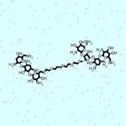 NCC1O[C@H](O[C@@H]2C(N)C[C@@H](N)C(O)C2O[C@@H]2O[C@H](CSCCOCCSSCCOCCSCC3O[C@H](O[C@H]4C(N)C[C@H](N)C(O[C@H]5OC(CN)[C@@H](O)CC5N)C4O)C(O)C(N)[C@@H]3O)[C@H](OC3O[C@@H](CN)C(O)C(O)[C@H]3N)[C@@H]2O)C(N)C(O)[C@@H]1O